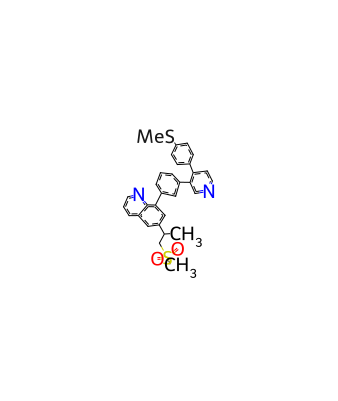 CSc1ccc(-c2ccncc2-c2cccc(-c3cc(C(C)CS(C)(=O)=O)cc4cccnc34)c2)cc1